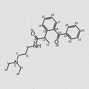 CCN(CC)CCCNC(=O)C(C)c1ccccc1C(=O)c1ccccc1